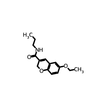 CCCNC(=O)C1=Cc2cc(OCC)ccc2OC1